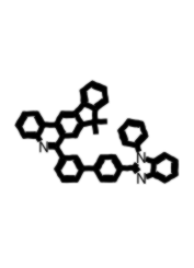 CC1(C)c2ccccc2-c2cc3c(cc21)c(-c1cccc(-c2ccc(-c4nc5ccccc5n4-c4ccccc4)cc2)c1)nc1ccccc13